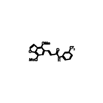 COc1c(/C=C/C(=O)Nc2cccc(C(F)(F)F)c2)cc(OC)c2occc12